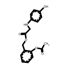 CC(=O)Oc1ccccc1COC(=O)CNc1ccc(O)cc1